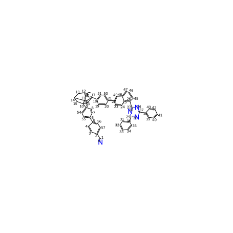 N#Cc1ccc(-c2ccc(C34CC5CC(C3)CC(c3ccc(-c6ccc7c(-c8nc(-c9ccccc9)nc(-c9ccccc9)n8)cccc7c6)cc3)(C5)C4)cc2)cc1